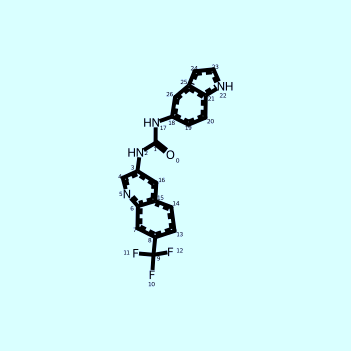 O=C(Nc1cnc2cc(C(F)(F)F)ccc2c1)Nc1ccc2[nH]ccc2c1